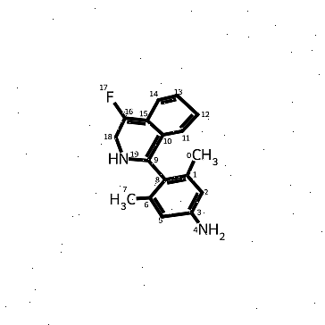 Cc1cc(N)cc(C)c1C1=c2ccccc2=C(F)CN1